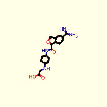 N=C(N)c1ccc2c(C(=O)Nc3ccc(NCC(=O)O)cc3)occ2c1